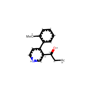 COc1ccccc1-c1ccncc1C(=O)CC(C)=O